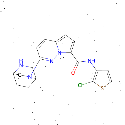 O=C(Nc1ccsc1Cl)c1ccc2ccc(N3CC4CCC3CN4)nn12